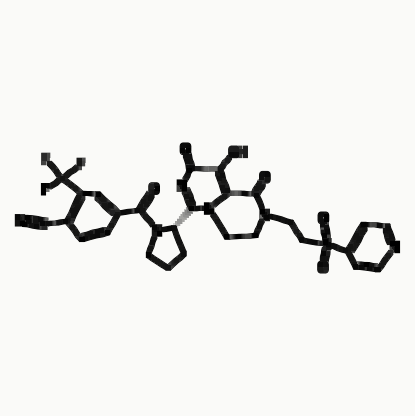 N#Cc1ccc(C(=O)N2CCC[C@H]2c2nc(=O)c(O)c3n2CCN(CCS(=O)(=O)c2ccncc2)C3=O)cc1C(F)(F)F